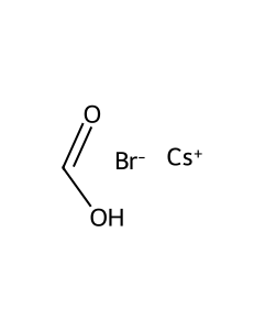 O=CO.[Br-].[Cs+]